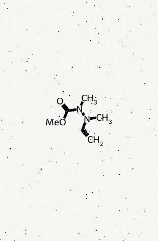 C=CN(C)N(C)C(=O)OC